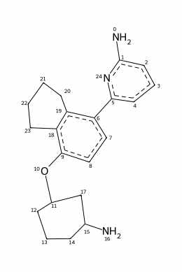 Nc1cccc(-c2ccc(OC3CCCC(N)C3)c3c2CCCC3)n1